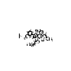 C#CCn1c(=O)c2c(nc(-c3cccc(C)c3)n2C)n(CCCO)c1=O